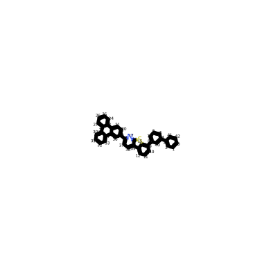 c1ccc(-c2cccc(-c3cccc4c3sc3nc(-c5ccc6c7ccccc7c7ccccc7c6c5)ccc34)c2)cc1